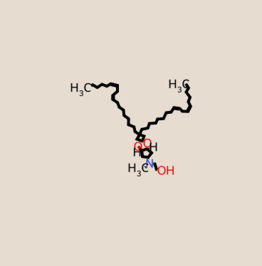 CCCCC/C=C\C/C=C\CCCCCCCCC1(CCCCCCCC/C=C\C/C=C\CCCCC)CC2(C1)O[C@H]1C[C@@H](N(C)CCO)C[C@H]1O2